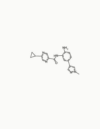 Cn1cc(-c2ccc(N)c(NC(=O)c3cnc(C4CC4)cn3)c2)cn1